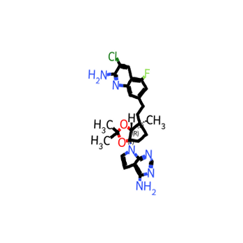 CC1(C)O[C@@H]2[C@@](C)(CCc3cc(F)c4cc(Cl)c(N)nc4c3)CC[C@@]2(n2ccc3c(N)ncnc32)O1